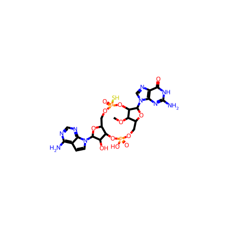 COC1C2COP(=O)(O)OC3C(COP(=O)(S)OC1C(n1cnc4c(=O)[nH]c(N)nc41)O2)OC(n1ccc2c(N)ncnc21)C3O